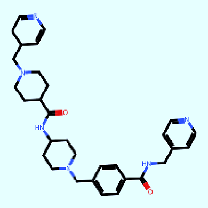 O=C(NCc1ccncc1)c1ccc(CN2CCC(NC(=O)C3CCN(CC4C=CN=CC4)CC3)CC2)cc1